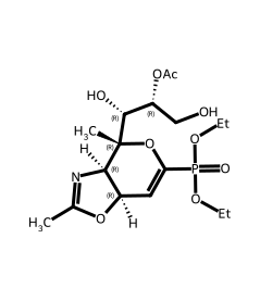 CCOP(=O)(OCC)C1=C[C@H]2OC(C)=N[C@H]2[C@](C)([C@H](O)[C@@H](CO)OC(C)=O)O1